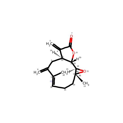 C=C1C[C@H]2C(=C)C(=O)O[C@@H]2[C@H]2O[C@]2(C)CC/C=C/1C